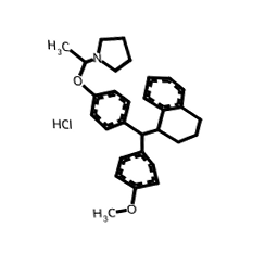 COc1ccc(C(c2ccc(OC(C)N3CCCC3)cc2)C2CCCc3ccccc32)cc1.Cl